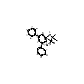 CC(C)(O)C(C)(C)Bc1cc(-c2ccccc2)cc(-c2ccccc2)c1